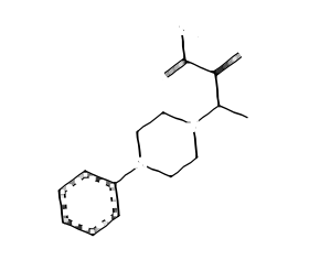 C=C(C(N)=O)C(C)N1CCN(c2ccccc2)CC1